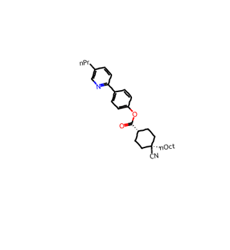 CCCCCCCC[C@]1(C#N)CC[C@H](C(=O)Oc2ccc(-c3ccc(CCC)cn3)cc2)CC1